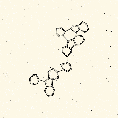 c1ccc(-n2c3ccccc3c3cc(-c4cccc(-c5ccc6c(c5)c5ccccc5n6-c5ccccc5-c5nc6ccccc6s5)c4)ccc32)cc1